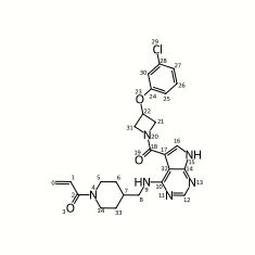 C=CC(=O)N1CCC(CNc2ncnc3[nH]cc(C(=O)N4CC(Oc5cccc(Cl)c5)C4)c23)CC1